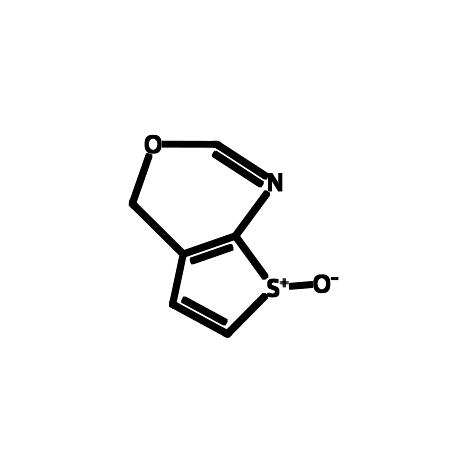 [O-][s+]1ccc2c1N=COC2